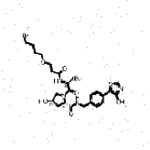 Cc1ncsc1-c1ccc(CNC(=O)[C@@H]2C[C@@H](O)CN2C(=O)[C@@H](NC(=O)CCOCCCCBr)C(C)(C)C)cc1